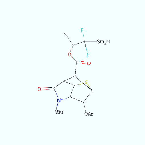 CC(=O)OC1C2SC3C(C(=O)N(C(C)(C)C)C13)C2C(=O)OC(C)C(F)(F)S(=O)(=O)O